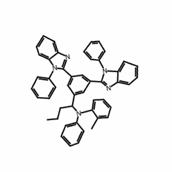 CCCC(c1cc(-c2nc3ccccc3n2-c2ccccc2)cc(-c2nc3ccccc3n2-c2ccccc2)c1)N(c1ccccc1)c1ccccc1C